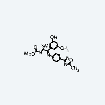 COC(=O)N=C(SC)C(=Nc1ccc(-c2noc(C)n2)cc1)c1cc(C)cc(O)c1